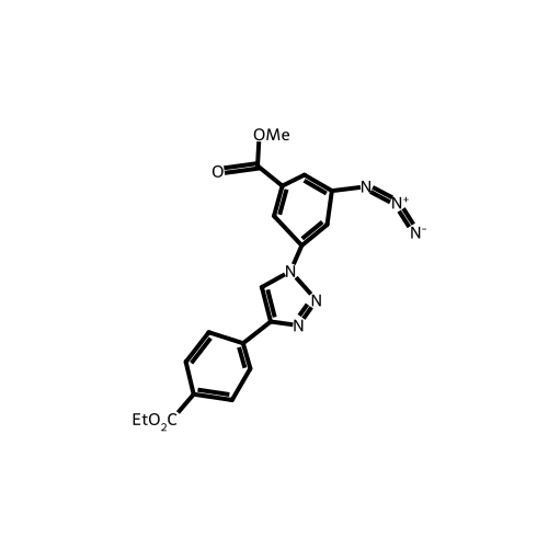 CCOC(=O)c1ccc(-c2cn(-c3cc(N=[N+]=[N-])cc(C(=O)OC)c3)nn2)cc1